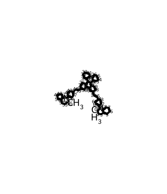 CC1CCc2ccccc2N1c1ccc(/C=C/c2ccc3c(-c4ccccc4)c(-c4ccccc4)c4ccc(/C=C/c5ccc(N6c7ccccc7CCC6C)cc5)cc4c3c2)cc1